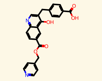 O=C(O)c1ccc(Cc2cnc3ccc(C(=O)OCc4ccncc4)cc3c2O)cc1